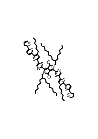 CCCCCCCCC(CCCCCC)CN1C(=O)C2=C(c3ncc(-c4cc(CCCCCC)c(-c5ccc(-c6cccs6)s5)s4)s3)N(CC(CCCCCC)CCCCCCCC)C(=O)C2=C1c1ncc(C2=CC(CCCCCC)C(C3CC=C(C4=CCCS4)S3)S2)s1